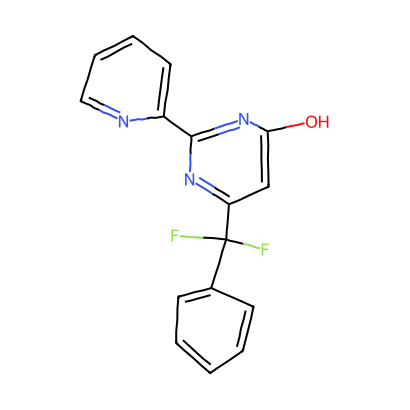 Oc1cc(C(F)(F)c2ccccc2)nc(-c2ccccn2)n1